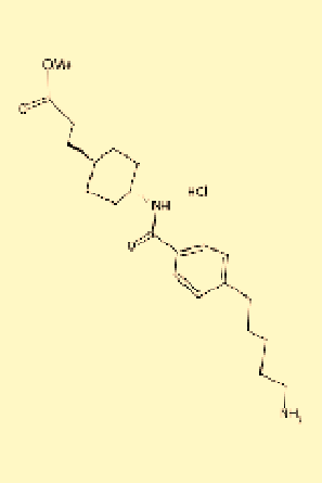 COC(=O)CC[C@H]1CC[C@H](NC(=O)c2ccc(CCCCCN)cc2)CC1.Cl